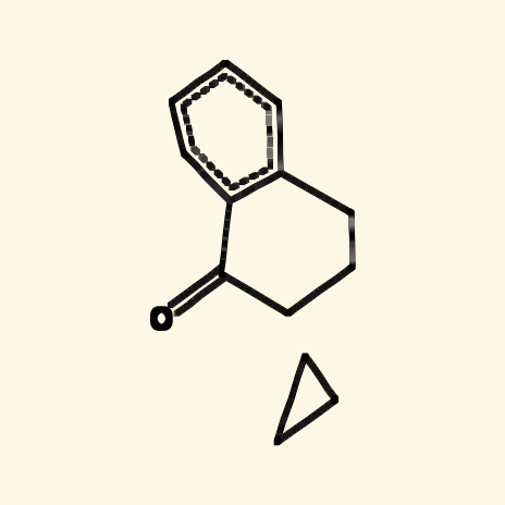 C1CC1.O=C1CCCc2ccccc21